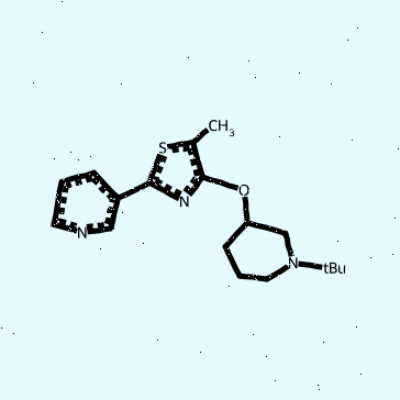 Cc1sc(-c2cccnc2)nc1OC1CCCN(C(C)(C)C)C1